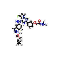 CC(C)NC(=O)COc1cccc(-c2nc(Nc3ccc4c(cnn4COCC[Si](C)(C)C)c3)c3c(F)ccn3n2)c1